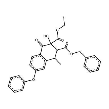 CCOC(=O)C1(O)C(=O)c2ccc(Oc3ccccc3)cc2C(C)N1C(=O)OCc1ccccc1